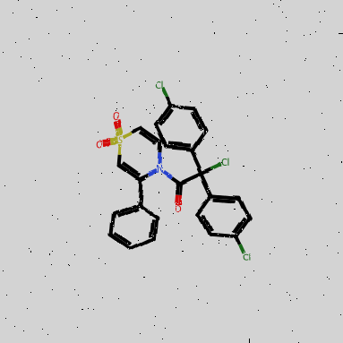 O=C(N1C=CS(=O)(=O)C=C1c1ccccc1)C(Cl)(c1ccc(Cl)cc1)c1ccc(Cl)cc1